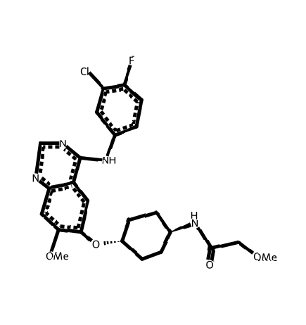 COCC(=O)N[C@H]1CC[C@H](Oc2cc3c(Nc4ccc(F)c(Cl)c4)ncnc3cc2OC)CC1